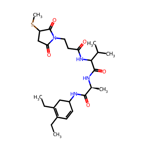 CCC1=C(CC)CC(NC(=O)[C@H](C)NC(=O)C(NC(=O)CCN2C(=O)CC(SC)C2=O)C(C)C)C=C1